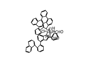 O=CN[B](NC=O)[Zr]([Cl])([Cl])([CH]1C(c2ccccc2)=Cc2c(-c3ccccc3-c3cccc4ccccc34)cccc21)[CH]1C(c2ccccc2)=Cc2c(-c3ccccc3-c3cccc4ccccc34)cccc21